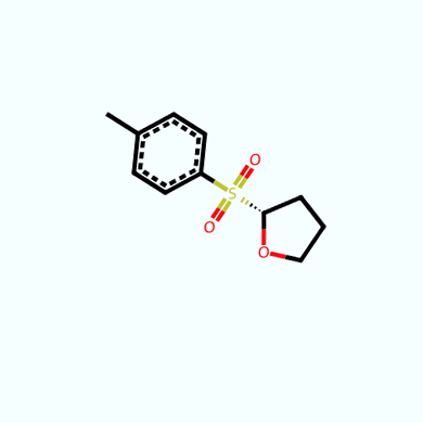 Cc1ccc(S(=O)(=O)[C@@H]2CCCO2)cc1